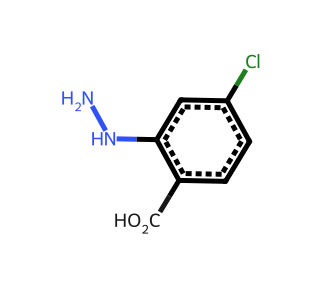 NNc1cc(Cl)ccc1C(=O)O